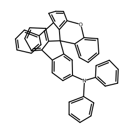 c1ccc(-c2cccc3c2C2(c4ccccc4O3)c3ccccc3-c3ccc(N(c4ccccc4)c4ccccc4)cc32)cc1